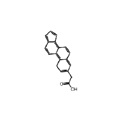 O=C(O)CC1=CCc2c(ccc3c4c(ccc23)=CC=C4)=C1